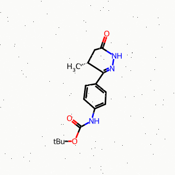 C[C@@H]1CC(=O)NN=C1c1ccc(NC(=O)OC(C)(C)C)cc1